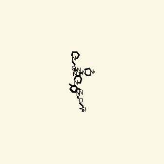 Cc1ccc2c(cnn2COCC[Si](C)(C)C)c1N1CCc2c(nc(OCCN3CCCCC3)nc2N2CCN(C)CC2)C1